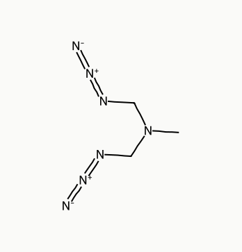 CN(CN=[N+]=[N-])CN=[N+]=[N-]